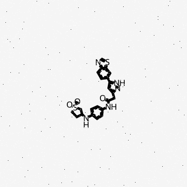 O=C(Cc1cc(-c2ccc3ncsc3c2)[nH]n1)Nc1ccc(NC2CCS(=O)(=O)C2)cc1